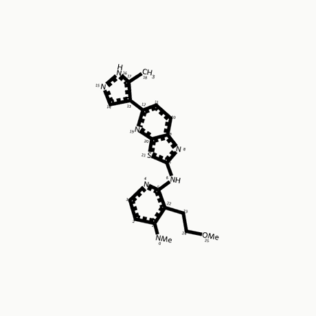 CNc1ccnc(Nc2nc3ccc(-c4cn[nH]c4C)nc3s2)c1CCOC